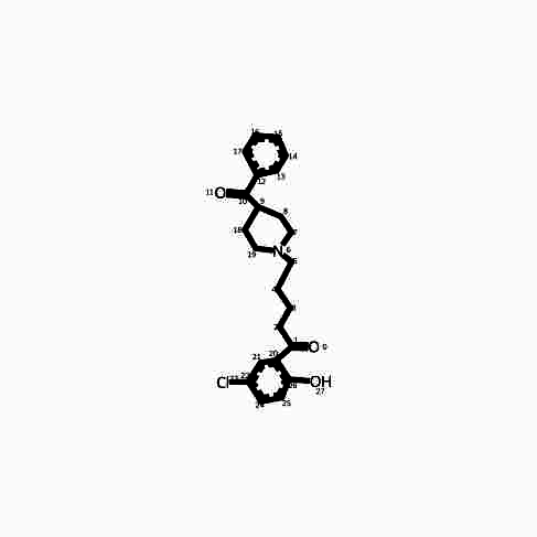 O=C(CCCCN1CCC(C(=O)c2ccccc2)CC1)c1cc(Cl)ccc1O